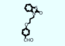 O=Cc1ccc(OCCCn2c(=O)sc3ccccc32)cc1